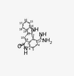 N=C(N)c1ccc2c(c1)/C(=C\c1c[nH]c3ccccc13)C(=O)N2